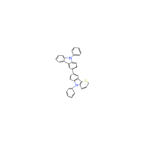 C1=Cc2c(c3cc(-c4ccc5c(c4)c4ccccc4n5-c4ccccc4)ccc3n2-c2ccccc2)SC1